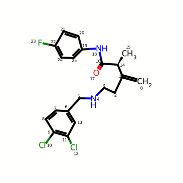 C=C(CCNCc1ccc(Cl)c(Cl)c1)[C@H](C)C(=O)Nc1ccc(F)cc1